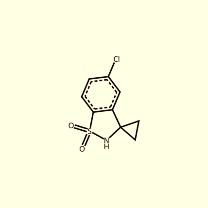 O=S1(=O)NC2(CC2)c2cc(Cl)ccc21